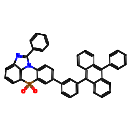 O=S1(=O)c2cc(-c3cccc(-c4c5ccccc5c(-c5ccccc5)c5ccccc45)c3)ccc2-n2c(-c3ccccc3)nc3cccc1c32